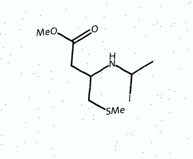 COC(=O)CC(CSC)NC(C)I